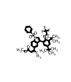 COC(=O)/C=C(/C)c1ccc2c(c1)c(-c1cc(C(C)(C)C)cc(C(C)(C)C)c1OCC(F)(F)F)cn2S(=O)(=O)c1ccccc1